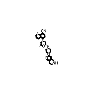 C[C@@H]1CN(c2ccc(C#N)c3ncccc23)C[C@H](CN2CCN(c3cc4c(cn3)CCN[C@H]4C)CC2)O1